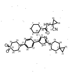 N#CC1(NC(=O)[C@@H]2CCCC[C@H]2c2nc(N3CCC4(CC3)CC4)sc2-c2ccc(N3CCS(=O)(=O)CC3)cc2)CC1